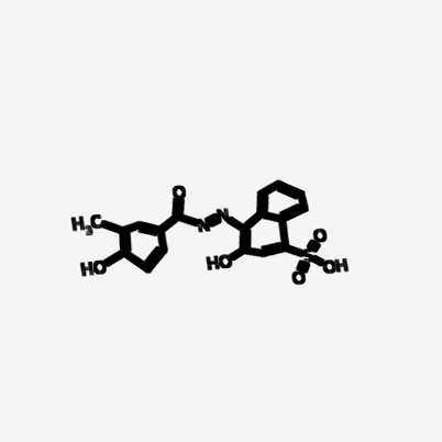 Cc1cc(C(=O)N=Nc2c(O)cc(S(=O)(=O)O)c3ccccc23)ccc1O